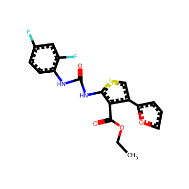 CCOC(=O)c1c(-c2ccco2)csc1NC(=O)Nc1ccc(F)cc1F